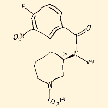 CC(C)N(C(=O)c1ccc(F)c([N+](=O)[O-])c1)[C@@H]1CCCN(C(=O)O)C1